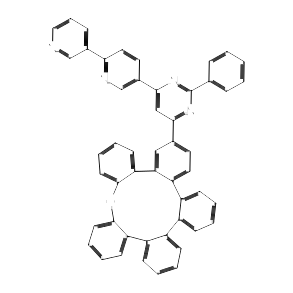 c1ccc(-c2nc(-c3ccc(-c4cccnc4)nc3)cc(-c3ccc4c(c3)-c3ccccc3Oc3ccccc3-c3ccccc3-c3ccccc3-4)n2)cc1